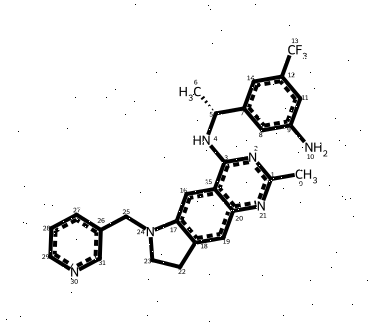 Cc1nc(N[C@H](C)c2cc(N)cc(C(F)(F)F)c2)c2cc3c(cc2n1)CCN3Cc1cccnc1